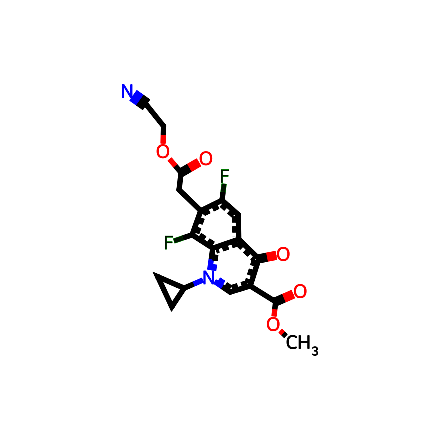 COC(=O)c1cn(C2CC2)c2c(F)c(CC(=O)OCC#N)c(F)cc2c1=O